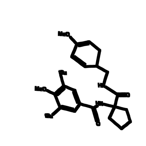 COC1=CCC(CNC(=O)C2(NC(=O)c3cc(C(C)(C)C)c(OC)c(C(C)(C)C)c3)CCCC2)C=C1